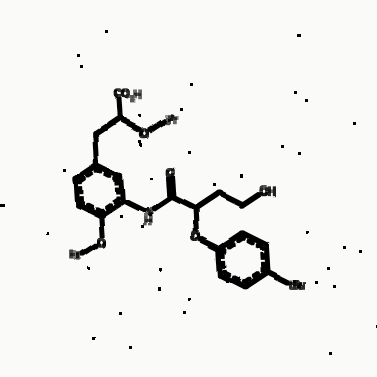 CCOc1ccc(CC(OC(C)C)C(=O)O)cc1NC(=O)C(CCO)Oc1ccc(C(C)(C)C)cc1